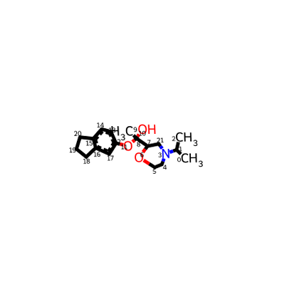 CC(C)N1CCOC(C(C)(O)Oc2ccc3c(c2)CCC3)C1